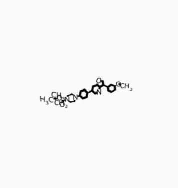 COc1cccc(-c2coc3cc(-c4ccc(N5CCN(C(=O)OC(C)(C)C)CC5)cc4)cnc23)c1